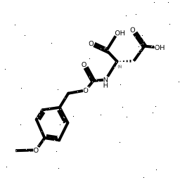 COc1ccc(COC(=O)N[C@@H](CC(=O)O)C(=O)O)cc1